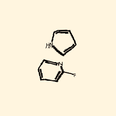 Fc1ccccn1.c1cc[nH]c1